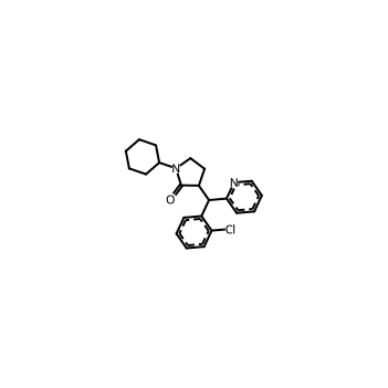 O=C1C(C(c2ccccn2)c2ccccc2Cl)CCN1C1CCCCC1